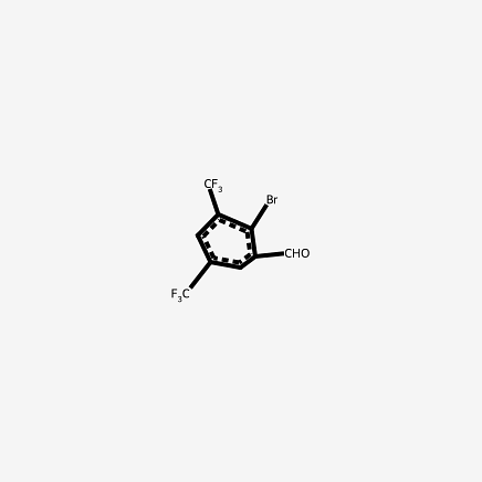 O=Cc1cc(C(F)(F)F)cc(C(F)(F)F)c1Br